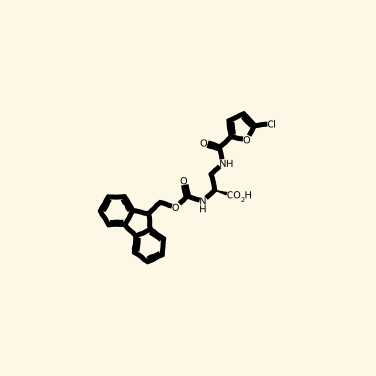 O=C(N[C@@H](CNC(=O)c1ccc(Cl)o1)C(=O)O)OCC1c2ccccc2-c2ccccc21